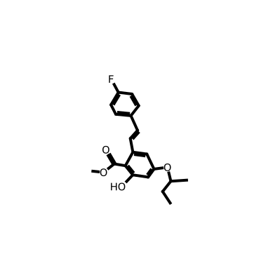 CCC(C)Oc1cc(O)c(C(=O)OC)c(C=Cc2ccc(F)cc2)c1